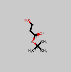 CC(C)(C)OC(=O)C[CH]O